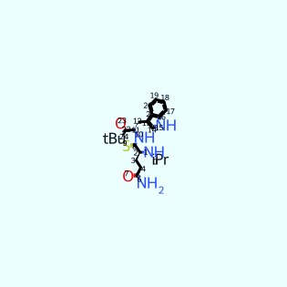 CC(C)N[C@@H](CCC(N)=O)C(=S)N[C@@H](Cc1c[nH]c2ccccc12)C(=O)C(C)(C)C